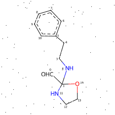 O=CC1(NCCc2ccccc2)NCCO1